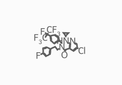 O=C(c1cc(Cl)cnc1NC1CC1)N(CCc1ccc(F)cc1)Cc1ccc(C(F)(C(F)(F)F)C(F)(F)F)cc1